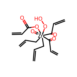 C=C[CH2][Zr](=[O])([CH2]C=C)([O]O)([O]C(=O)C=C)([C](=O)C=C)[C](=O)C=C